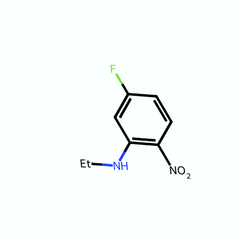 CCNc1cc(F)ccc1[N+](=O)[O-]